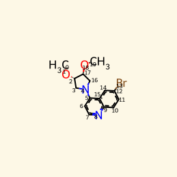 CO[C@H]1CN(c2ccnc3ccc(Br)cc23)C[C@@H]1OC